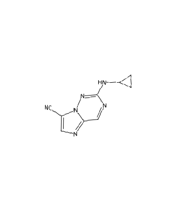 N#Cc1cnc2cnc(NC3CC3)nn12